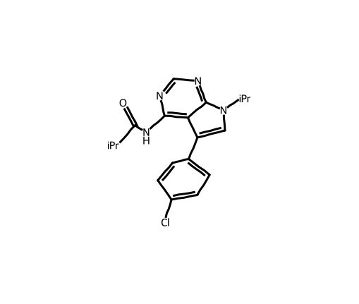 CC(C)C(=O)Nc1ncnc2c1c(-c1ccc(Cl)cc1)cn2C(C)C